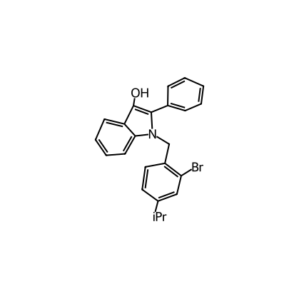 CC(C)c1ccc(Cn2c(-c3ccccc3)c(O)c3ccccc32)c(Br)c1